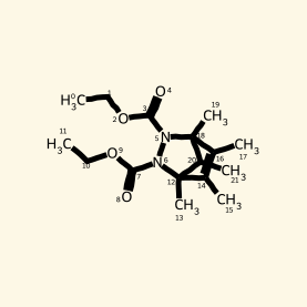 CCOC(=O)N1N(C(=O)OCC)C2(C)C(C)=C(C)C1(C)C2C